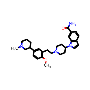 COc1ccc(C2CCCN(C)C2)cc1CCN1CCC(n2ccc3ccc(C(N)=O)cc32)CC1